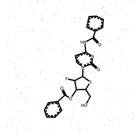 O=C(Nc1ccn(C2SC(CO)C(OC(=O)c3ccccc3)C2F)c(=O)n1)c1ccccc1